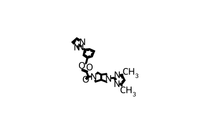 Cc1cc(C)nc(N2CC3CN(C(=O)C4=COC(c5cccc(-n6nccn6)c5)O4)CC3C2)n1